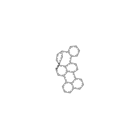 c1ccc2c(c1)c1ccc3c(c1)cc1c4cccc5cccc(c6ccc2c3c61)c54